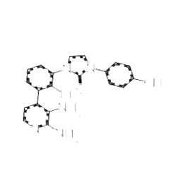 CCc1c(-c2ccnc(N)c2N)cccc1-n1ccn(-c2ccc(C)cc2)c1=O